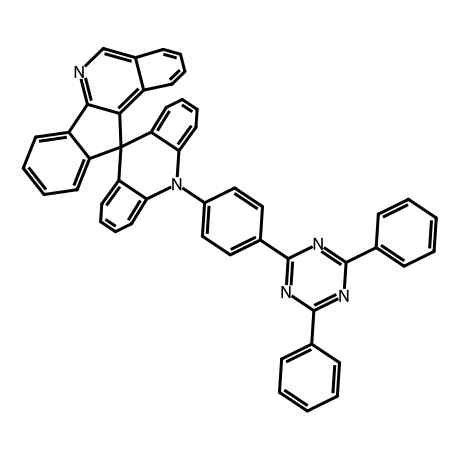 c1ccc(-c2nc(-c3ccccc3)nc(-c3ccc(N4c5ccccc5C5(c6ccccc6-c6ncc7ccccc7c65)c5ccccc54)cc3)n2)cc1